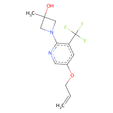 C=CCOc1cnc(N2CC(C)(O)C2)c(C(F)(F)F)c1